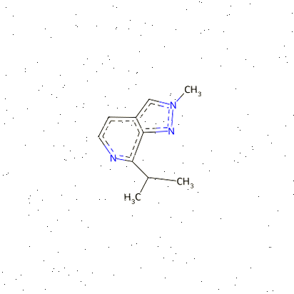 CC(C)c1nccc2cn(C)nc12